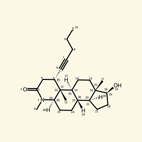 CN1C(=O)C[C@H](C#CCCI)[C@]2(C)[C@H]3CC[C@]4(C)[C@@H](O)CC[C@H]4[C@@H]3CC[C@@H]12